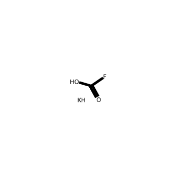 O=C(O)F.[KH]